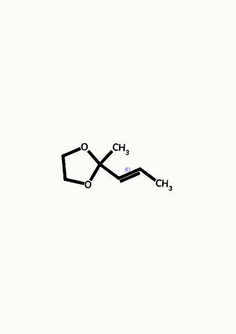 C/C=C/C1(C)OCCO1